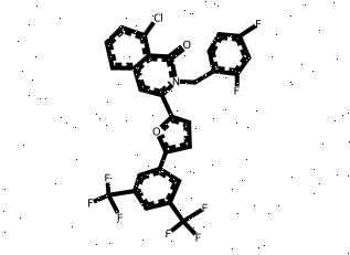 O=c1c2c(Cl)cccc2cc(-c2ccc(-c3cc(C(F)(F)F)cc(C(F)(F)F)c3)o2)n1Cc1ccc(F)cc1F